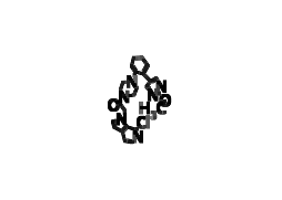 COc1ncc(-c2ccccc2N2CCN(C(=O)Cn3ccc4ccnc(Cl)c43)CC2)cn1